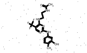 CC(=O)NCCNc1nc(Nc2ccc(C)c(O)c2)ncc1C(F)(F)F